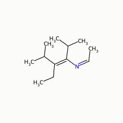 C/C=N\C(=C(/CC)C(C)C)C(C)C